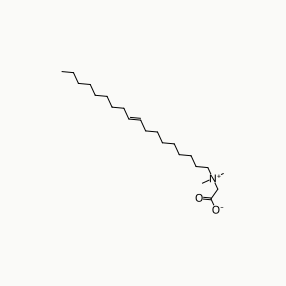 CCCCCCCCC=CCCCCCCCC[N+](C)(C)CC(=O)[O-]